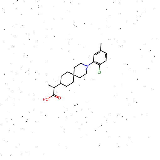 Cc1ccc(Cl)c(N2CCC3(CCC(C(C)C(=O)O)CC3)CC2)c1